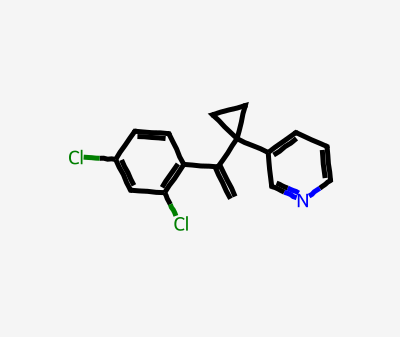 C=C(c1ccc(Cl)cc1Cl)C1(c2cccnc2)CC1